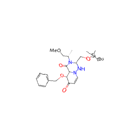 COC[C@H](C)N1C(=O)C2C(OCc3ccccc3)C(=O)C=CN2NC1CO[Si](C)(C)C(C)(C)C